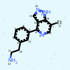 CCc1cnc(-c2cccc(CCN)c2)c2cn[nH]c12